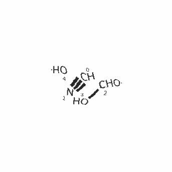 C#N.O=[C]O.[OH]